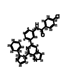 O=C(Nc1cccc(-c2cn3ccnc3c(-n3ccnc3-c3ccccc3)n2)c1)c1ccc(Cl)cc1